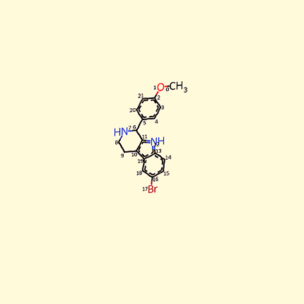 COc1ccc(C2NCCc3c2[nH]c2ccc(Br)cc32)cc1